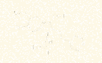 CCOCC.COc1cc2c(C(=O)O)c(CSc3ccccc3)n(C)c2cc1Br